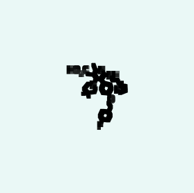 Cc1nc(NCCn2cccn2)c(-c2ccc(OCCc3ccc(F)cc3)cc2)c(N2CCC(C)(C)CC2)c1CC(=O)O